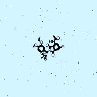 CCOc1cc([C@@H](CS(C)(=O)=O)N2C(=O)c3cc(F)cc(NC(C)=O)c3C2=O)ccc1OC